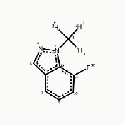 [2H]C([2H])([2H])n1ncc2c[c]cc(F)c21